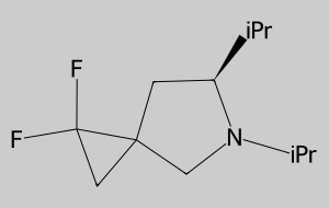 CC(C)[C@@H]1CC2(CN1C(C)C)CC2(F)F